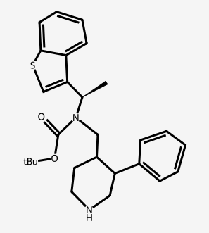 C[C@H](c1csc2ccccc12)N(CC1CCNCC1c1ccccc1)C(=O)OC(C)(C)C